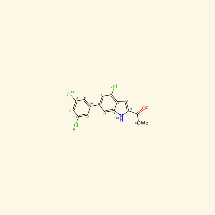 COC(=O)c1cc2c(Cl)cc(-c3cc(Cl)cc(Cl)c3)cc2[nH]1